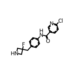 O=C(Nc1ccc(CC2(F)CNC2)cc1)c1ccc(Cl)nc1